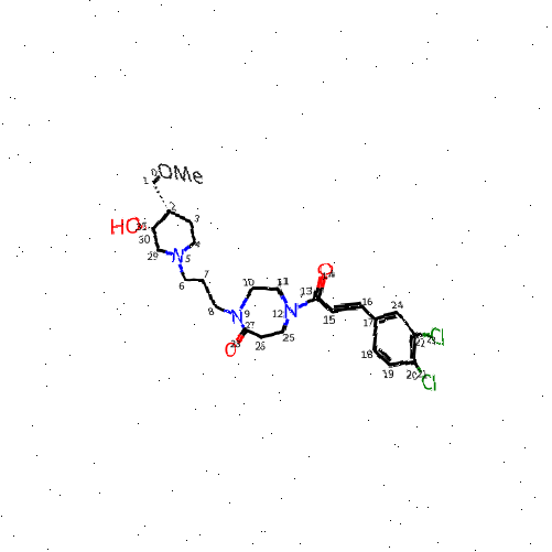 COC[C@@H]1CCN(CCCN2CCN(C(=O)/C=C/c3ccc(Cl)c(Cl)c3)CCC2=O)C[C@@H]1O